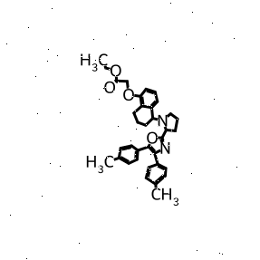 CCOC(=O)COc1cccc2c1CCCC2N1CCCC1c1nc(-c2ccc(C)cc2)c(-c2ccc(C)cc2)o1